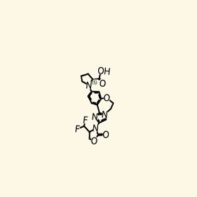 O=C(O)[C@@H]1CCCN1c1ccc2c(c1)OCCn1cc(N3C(=O)OCC3C(F)F)nc1-2